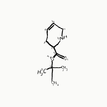 CC(C)(C)OC(=O)C1C[C]=CCN1